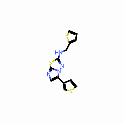 c1csc(CNc2nn3c(-c4ccsc4)cnc3s2)c1